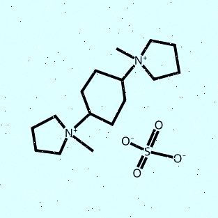 C[N+]1(C2CCC([N+]3(C)CCCC3)CC2)CCCC1.O=S(=O)([O-])[O-]